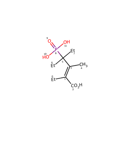 CC/C(C(=O)O)=C(/C)C(CC)(CC)P(=O)(O)O